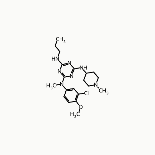 CCCNc1nc(NC2CCN(C)CC2)nc(N(C)c2ccc(OC)c(Cl)c2)n1